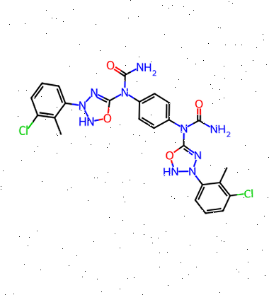 Cc1c(Cl)cccc1N1N=C(N(C(N)=O)c2ccc(N(C(N)=O)C3=NN(c4cccc(Cl)c4C)NO3)cc2)ON1